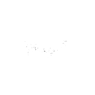 C=C(C)C(=O)OCCCNC=C(C)C(=O)NCCC[N+](C)(C)C(CC=O)CC(=O)O